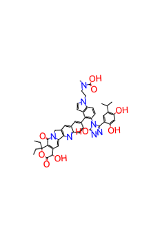 CCC1(CC)OC(=O)C(O)c2cc3n(c(=O)c21)Cc1cc2cc(-c4c(-n5c(O)nnc5-c5cc(C(C)C)c(O)cc5O)ccc5c4ccn5CCN(C)C(=O)O)ccc2nc1-3